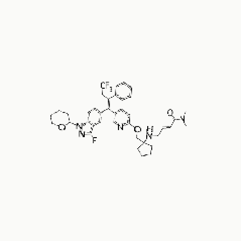 CN(C)C(=O)/C=C/CNC1(COc2ccc(/C(=C(/CC(F)(F)F)c3ccccc3)c3ccc4c(c3)c(F)nn4C3CCCCO3)cn2)CCCC1